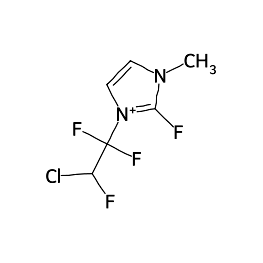 Cn1cc[n+](C(F)(F)C(F)Cl)c1F